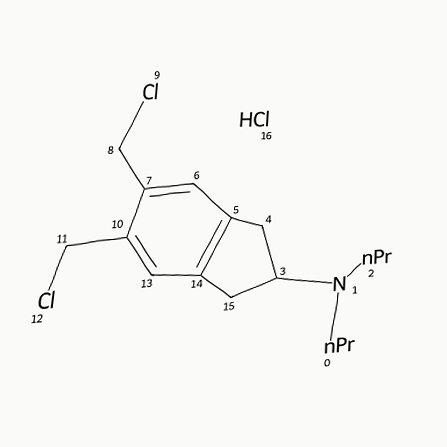 CCCN(CCC)C1Cc2cc(CCl)c(CCl)cc2C1.Cl